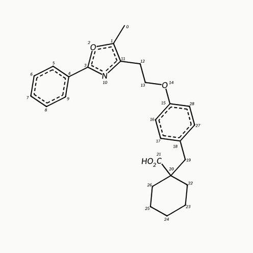 Cc1oc(-c2ccccc2)nc1CCOc1ccc(CC2(C(=O)O)CCCCC2)cc1